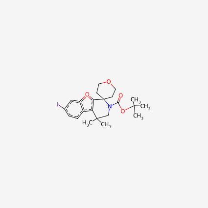 CC(C)(C)OC(=O)N1CC(C)(C)c2c(oc3cc(I)ccc23)C12CCOCC2